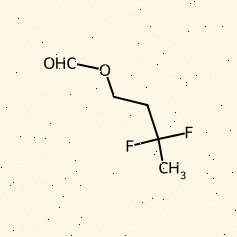 CC(F)(F)CCOC=O